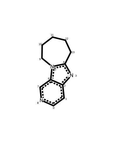 c1cc2nc3n(c2cn1)CCCCC3